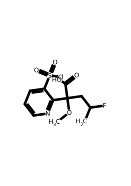 COC(CC(C)F)(C(=O)O)c1ncccc1S(=O)(=O)Cl